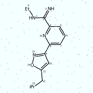 CCNC(=N)c1cccc(-c2cc(CC(C)C)on2)n1